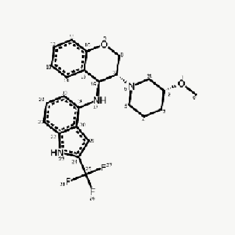 CO[C@@H]1CCCN([C@H]2COc3ccccc3[C@@H]2Nc2cccc3[nH]c(C(F)(F)F)cc23)C1